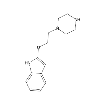 c1ccc2[nH]c(OCCN3CCNCC3)cc2c1